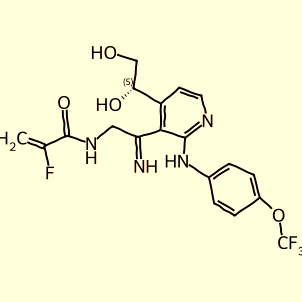 C=C(F)C(=O)NCC(=N)c1c([C@H](O)CO)ccnc1Nc1ccc(OC(F)(F)F)cc1